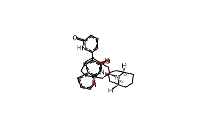 O=c1cccc(-c2nc3ccccc3n([C@H]3C[C@H]4CCC[C@@H](C3)N4[C@@H]3C[C@@H]4CCCC[C@@H](C4)C3)c2=O)[nH]1